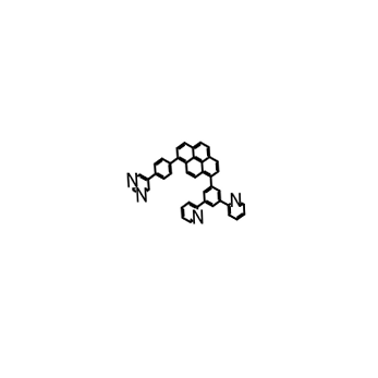 c1ccc(-c2cc(-c3ccccn3)cc(-c3ccc4ccc5ccc(-c6ccc(-c7cncnc7)cc6)c6ccc3c4c56)c2)nc1